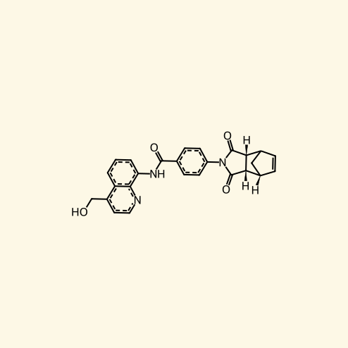 O=C(Nc1cccc2c(CO)ccnc12)c1ccc(N2C(=O)[C@@H]3[C@H](C2=O)C2C=C[C@H]3C2)cc1